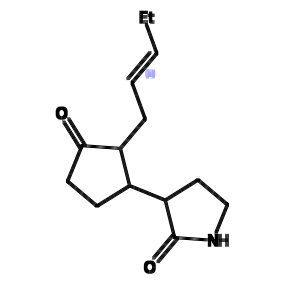 CC/C=C/CC1C(=O)CCC1C1CCNC1=O